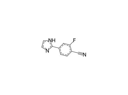 N#Cc1ccc(-c2ncc[nH]2)cc1F